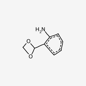 Nc1ccccc1C1OCO1